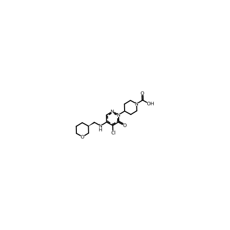 O=C(O)N1CCC(n2ncc(NC[C@@H]3CCCOC3)c(Cl)c2=O)CC1